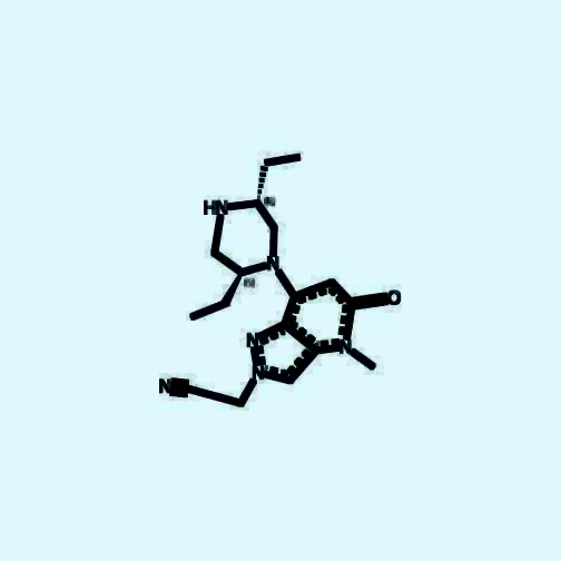 CC[C@@H]1CN(c2cc(=O)n(C)c3cn(CC#N)nc23)[C@@H](CC)CN1